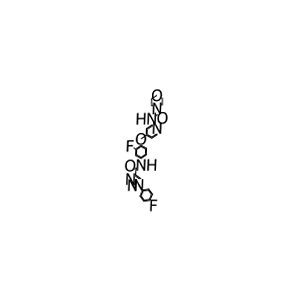 O=C(Nc1ccc(Oc2ccnc(NC(=O)N3CCOCC3)c2)c(F)c1)c1cn(-c2ccc(F)cc2)nn1